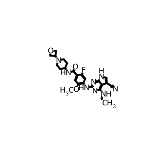 CCNc1nc(Nc2cc(F)c(C(=O)NC3CCN(C4COC4)CC3)cc2OC)nc2[nH]cc(C#N)c12